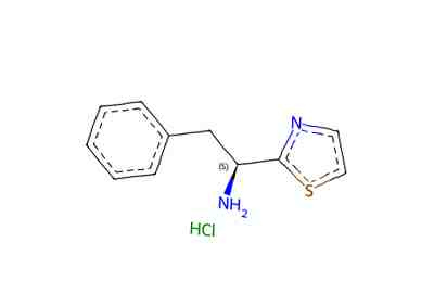 Cl.N[C@@H](Cc1ccccc1)c1nccs1